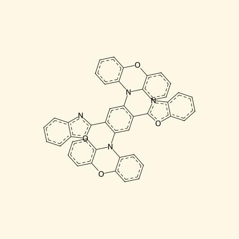 c1ccc2c(c1)Oc1ccccc1N2c1cc(-c2nc3ccccc3o2)c(N2c3ccccc3Oc3ccccc32)cc1-c1nc2ccccc2o1